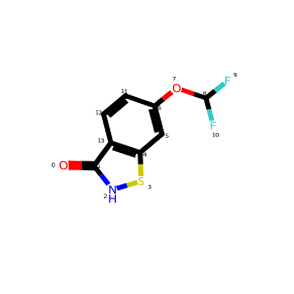 O=c1[nH]sc2cc(OC(F)F)ccc12